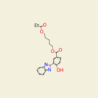 CCC(=O)OCCCCCOC(=O)c1ccc(O)c(C2N=c3ccccc3=N2)c1